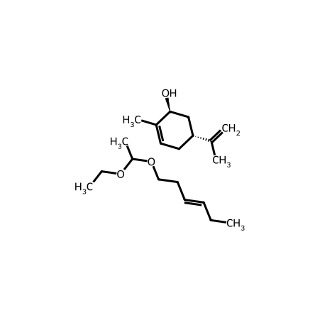 C=C(C)[C@@H]1CC=C(C)[C@@H](O)C1.CCC=CCCOC(C)OCC